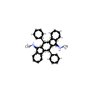 [C-]#[N+]/N=c1\c2ccccc2c2c(-c3ccccc3)c3/c(=N/C#N)c4ccccc4c3c(-c3ccccc3)c12